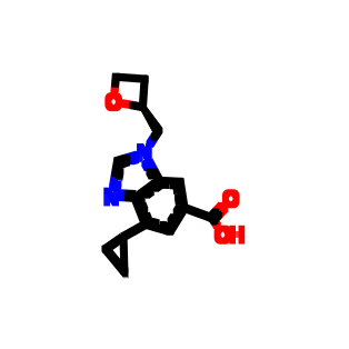 O=C(O)c1cc(C2CC2)c2ncn(C[C@@H]3CCO3)c2c1